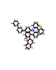 c1ccc(-c2cccc(-c3ccc(N(c4ccccc4-c4cccc5oc6c7ccccc7ccc6c45)c4cccc5sc6ccccc6c45)cc3)c2)cc1